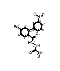 CNC(=S)NNC(=O)c1ccc(Br)cc1-c1cccc([N+](=O)[O-])c1